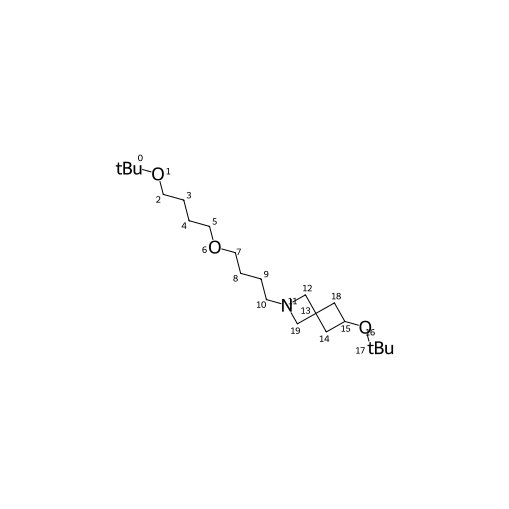 CC(C)(C)OCCCCOCCCCN1CC2(CC(OC(C)(C)C)C2)C1